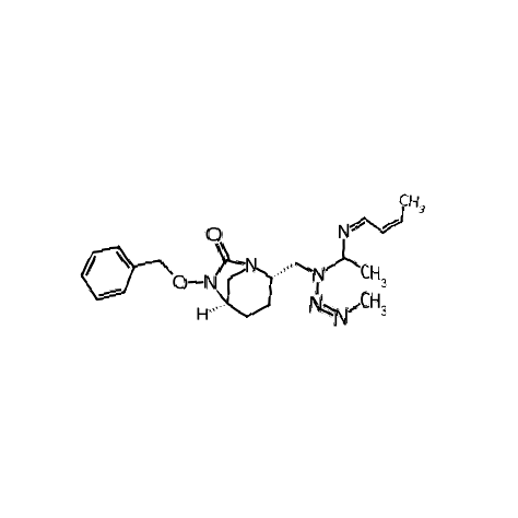 C/C=C\C=N/C(C)N(C[C@@H]1CC[C@@H]2CN1C(=O)N2OCc1ccccc1)/N=N\C